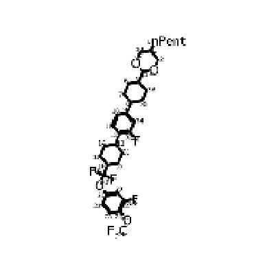 CCCCCC1COC(C2CCC(c3ccc(C4CCC(C(F)(F)Oc5ccc(OC(F)(F)F)c(F)c5)CC4)c(F)c3)CC2)OC1